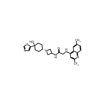 Cc1ccc2nc(C(F)(F)F)cc(NCC(=O)NC3CN([C@H]4CC[C@@](O)(c5cncs5)CC4)C3)c2c1